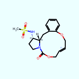 CS(=O)(=O)N[C@H]1CCN2C(=O)OC/C=C/COc3ccccc3C[C@@H]12